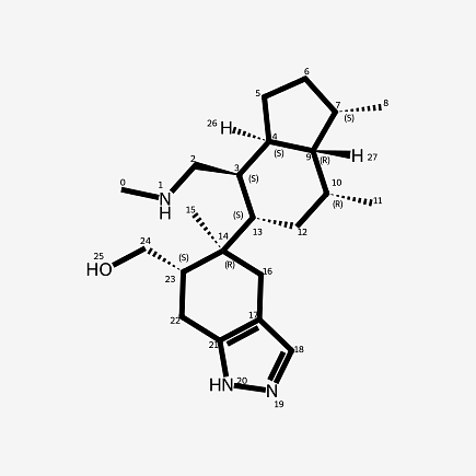 CNC[C@H]1[C@H]2CC[C@H](C)[C@@H]2[C@H](C)C[C@@H]1[C@@]1(C)Cc2cn[nH]c2C[C@@H]1CO